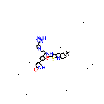 CC(C)(C)[C@H]1CCc2nc3sc(C(=O)N[C@H](CCN4CCC(c5nn[nH]n5)C4)c4ccc(-c5ccc(=O)[nH]c5)cc4)cc3cc2C1